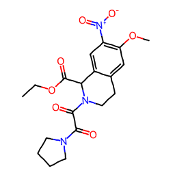 CCOC(=O)C1c2cc([N+](=O)[O-])c(OC)cc2CCN1C(=O)C(=O)N1CCCC1